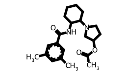 CC(=O)OC1CCN(C2CCCCC2NC(=O)c2cc(C)cc(C)c2)C1